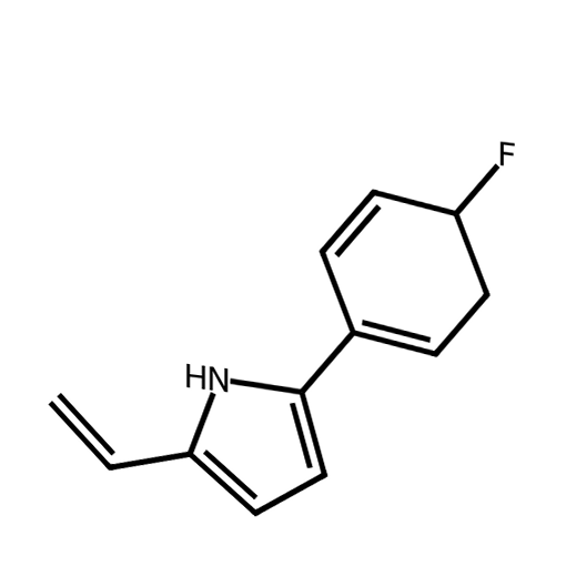 C=Cc1ccc(C2=CCC(F)C=C2)[nH]1